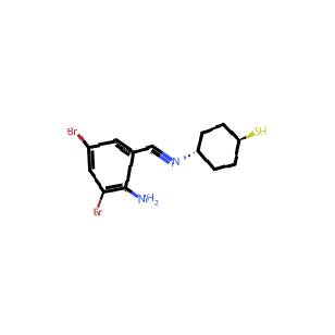 Nc1c(Br)cc(Br)cc1C=N[C@H]1CC[C@H](S)CC1